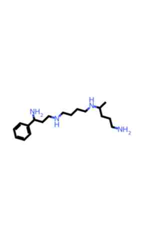 CC(CCCN)NCCCCNCCC(N)c1ccccc1